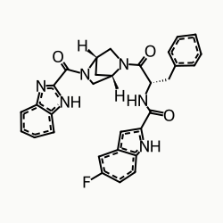 O=C(N[C@@H](Cc1ccccc1)C(=O)N1C[C@@H]2C[C@H]1CN2C(=O)c1nc2ccccc2[nH]1)c1cc2cc(F)ccc2[nH]1